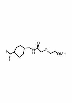 COCCOCC(=O)NCC1CCC(C(I)I)CC1